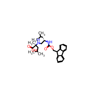 CC(C)C[C@@H](CN[C@@](C)(CC(C)C)C(=O)O)NC(=O)OCC1c2ccccc2-c2ccccc21